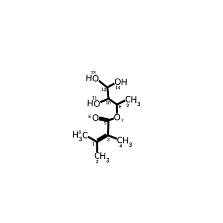 CC(C)=C(C)C(=O)OC(C)C(O)C(O)O